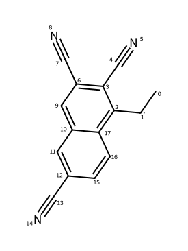 C[CH]c1c(C#N)c(C#N)cc2cc(C#N)ccc12